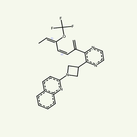 C=C(/C=C\C(=C/C)OC(F)(F)F)c1nccnc1C1CN(c2ccc3ccccc3n2)C1